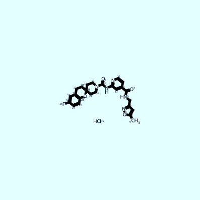 Cc1cc(CNC(=O)c2ccnc(NC(=O)N3CCC4(CCc5cc(F)ccc5O4)CC3)c2)no1.Cl